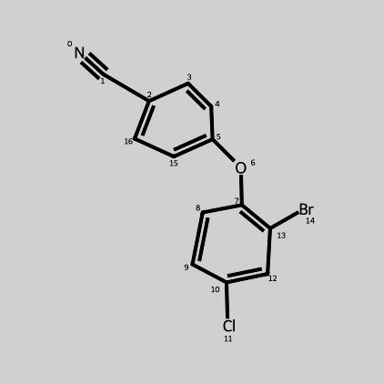 N#Cc1ccc(Oc2ccc(Cl)cc2Br)cc1